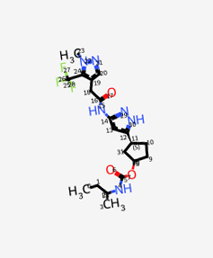 CC[C@H](C)NC(=O)O[C@@H]1CC[C@H](c2cc(NC(=O)Cc3cnn(C)c3C(F)(F)F)n[nH]2)C1